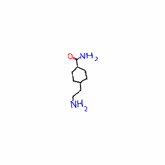 NCCC1CCC(C(N)=O)CC1